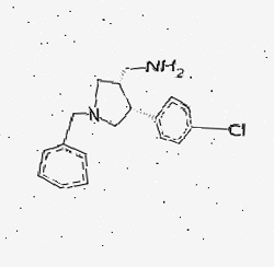 NC[C@H]1CN(Cc2ccccc2)C[C@H]1c1ccc(Cl)cc1